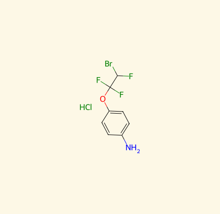 Cl.Nc1ccc(OC(F)(F)C(F)Br)cc1